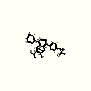 CC(=O)Nc1ccc(-c2ccc(-c3ccccc3)c3c2C2CC(C(C)C)C3C=C2C)cc1